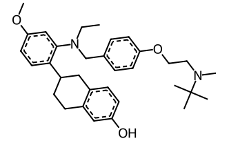 CCN(Cc1ccc(OCCN(C)C(C)(C)C)cc1)c1cc(OC)ccc1C1CCc2cc(O)ccc2C1